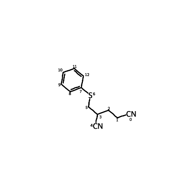 N#CCCC(C#N)CSc1ccccc1